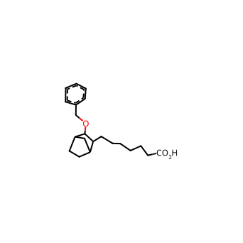 O=C(O)CCCCCCC1C2CCC(C2)C1OCc1ccccc1